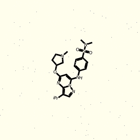 CC(C)c1cnn2c(Nc3ccc(S(=O)(=O)N(C)C)cc3)cc(OC3CCN(C)C3)nc12